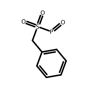 O=PS(=O)(=O)Cc1ccccc1